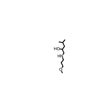 COCCCNCC(O)CC(C)C